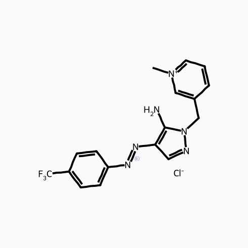 C[n+]1cccc(Cn2ncc(/N=N/c3ccc(C(F)(F)F)cc3)c2N)c1.[Cl-]